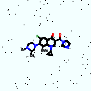 COc1c(N2CCN(C(C)=O)C(C)C2)c(F)cc2c(=O)c(C(=O)n3ccnc3)cn(C3CC3)c12